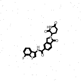 O=C1CCC(N2Cc3cc(C(=O)Nc4csc5c(F)cccc45)ccc3C2=O)C(=O)N1